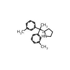 Cc1cccc(C(C)(c2cccc(C)c2)[C@H]2CCCN2)c1